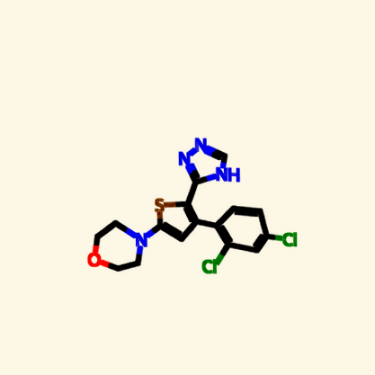 Clc1ccc(-c2cc(N3CCOCC3)sc2-c2nnc[nH]2)c(Cl)c1